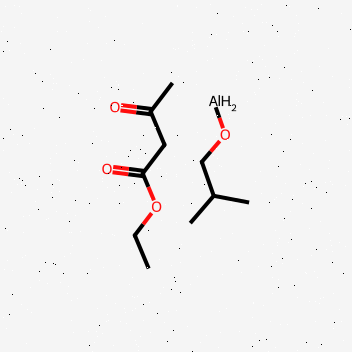 CC(C)C[O][AlH2].CCOC(=O)CC(C)=O